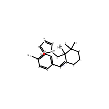 CC1(C)CCC/C(=C/c2ccc(F)cc2)C1(O)Cn1cncn1